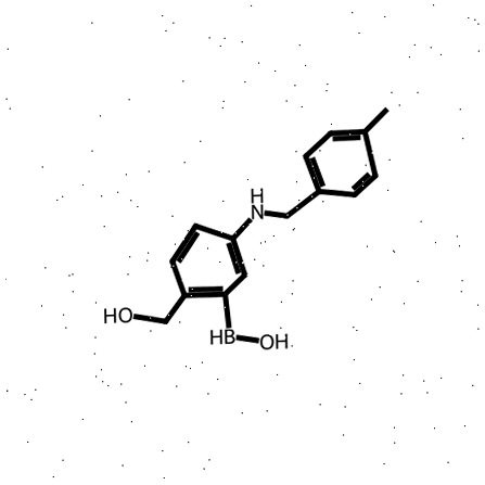 Cc1ccc(CNc2ccc(CO)c(BO)c2)cc1